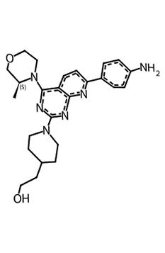 C[C@H]1COCCN1c1nc(N2CCC(CCO)CC2)nc2nc(-c3ccc(N)cc3)ccc12